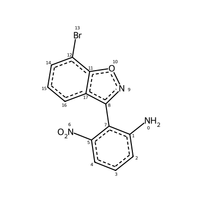 Nc1cccc([N+](=O)[O-])c1-c1noc2c(Br)cccc12